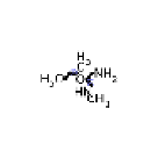 C=C/C=C(/C)O/C(=C\NC)CN